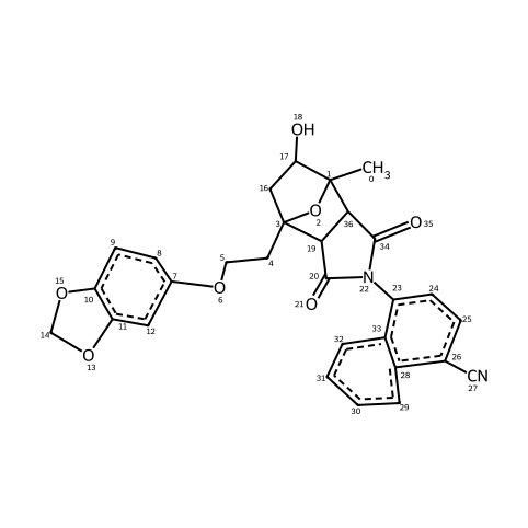 CC12OC(CCOc3ccc4c(c3)OCO4)(CC1O)C1C(=O)N(c3ccc(C#N)c4ccccc34)C(=O)C12